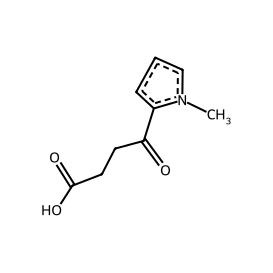 Cn1cccc1C(=O)CCC(=O)O